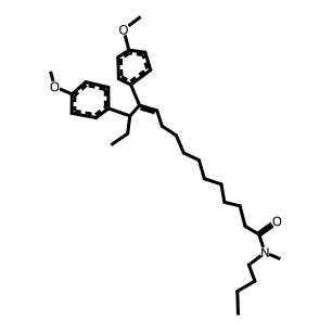 CCCCN(C)C(=O)CCCCCCCCCC=C(c1ccc(OC)cc1)C(CC)c1ccc(OC)cc1